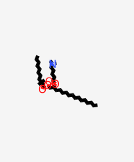 CCCCCCCCCCCCCCC(COC(=O)C(C)(C)CCCCCCCC)OC(=O)CCCCN(C)C